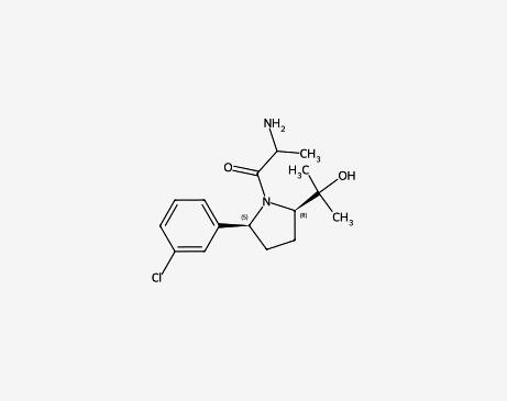 CC(N)C(=O)N1[C@H](c2cccc(Cl)c2)CC[C@@H]1C(C)(C)O